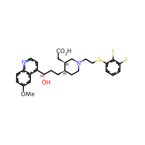 COc1ccc2nccc([C@@H](O)CC[C@@H]3CCN(CCSc4cccc(F)c4F)C[C@@H]3CC(=O)O)c2c1